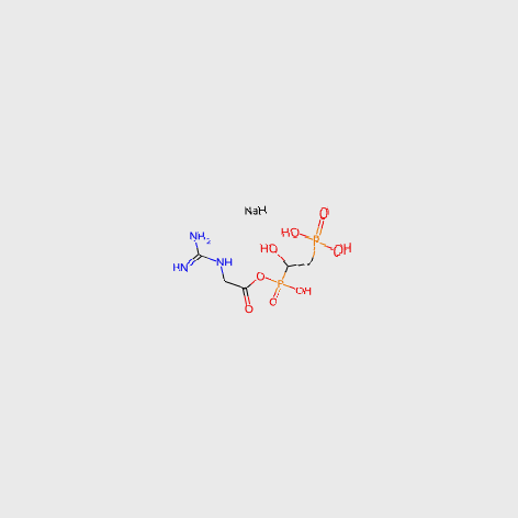 N=C(N)NCC(=O)OP(=O)(O)C(O)CP(=O)(O)O.[NaH]